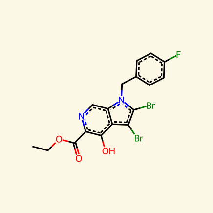 CCOC(=O)c1ncc2c(c1O)c(Br)c(Br)n2Cc1ccc(F)cc1